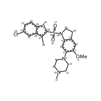 COc1cc2c(cc1N1CCN(C)CC1)N(S(=O)(=O)c1sc3ccc(Cl)cc3c1C)CC2